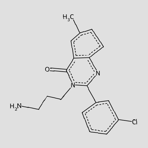 Cc1ccc2nc(-c3cccc(Cl)c3)n(CCCN)c(=O)c2c1